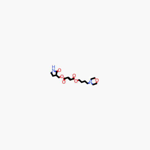 O=C(/C=C/C(=O)OCC1CCNC1=O)OCCCCN1CCOCC1